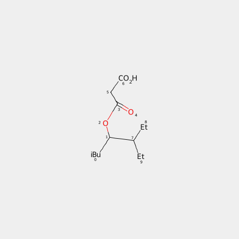 CCC(C)C(OC(=O)CC(=O)O)C(CC)CC